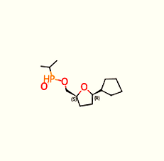 CC(C)[PH](=O)OC[C@@H]1CC[C@H](C2CCCC2)O1